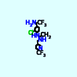 C=C(NCc1ccc(C(F)(F)F)nc1)Nc1ccc(C(N)C(F)(F)F)cc1Cl